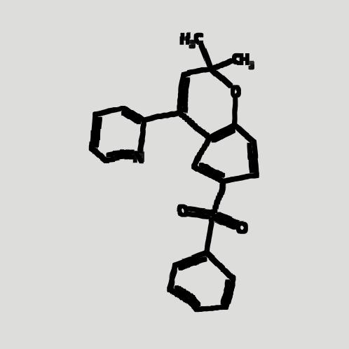 CC1(C)C=C(c2ccccn2)c2cc(S(=O)(=O)c3ccccc3)ccc2O1